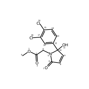 COC(=O)CN1C(=O)C=CC1(O)c1ccc(Cl)c(Cl)c1